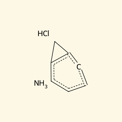 Cl.N.c1ccc2c(c1)C2